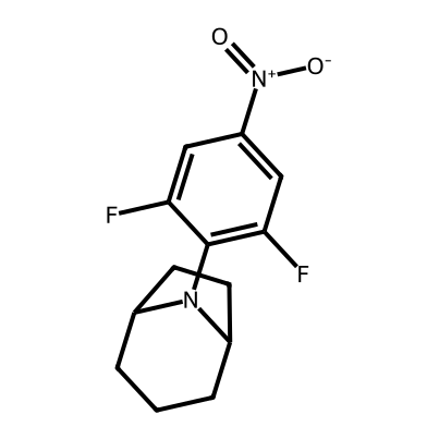 O=[N+]([O-])c1cc(F)c(N2C3CCCC2CC3)c(F)c1